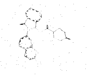 O=C1CCC(C(=O)OC2c3ccccc3C(=O)N2c2ccc3ccc(Cl)nc3n2)CC1